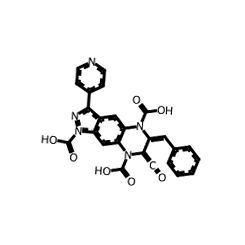 O=C=C1/C(=C\c2ccccc2)N(C(=O)O)c2cc3c(-c4ccncc4)nn(C(=O)O)c3cc2N1C(=O)O